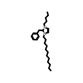 CCCCCCCCCCCCN1C=CN(CCCCC)C1Cc1ccccc1